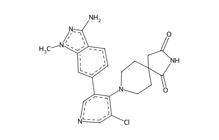 Cn1nc(N)c2ccc(-c3cncc(Cl)c3N3CCC4(CC3)CC(=O)NC4=O)cc21